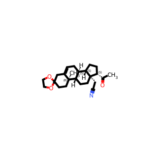 CC(=O)[C@H]1CC[C@H]2[C@@H]3CC=C4CC5(CC[C@]4(C)[C@H]3CC[C@]12CC#N)OCCO5